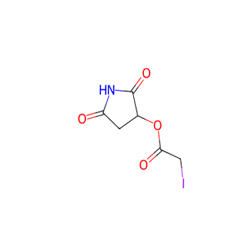 O=C1CC(OC(=O)CI)C(=O)N1